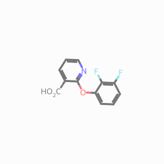 O=C(O)c1cccnc1Oc1cccc(F)c1F